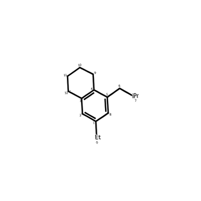 CCc1cc2c(c(CC(C)C)c1)CCC[C]2